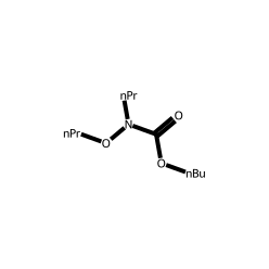 CCCCOC(=O)N(CCC)OCCC